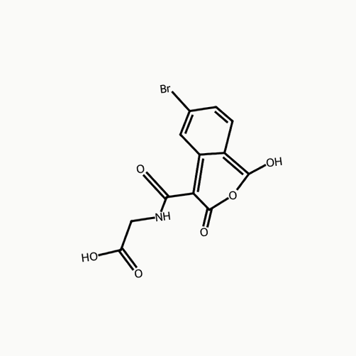 O=C(O)CNC(=O)c1c(=O)oc(O)c2ccc(Br)cc12